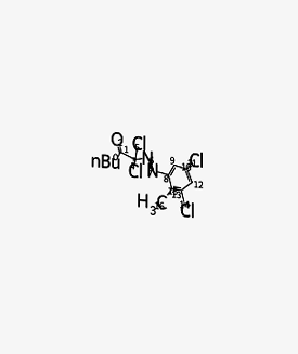 CCCCC(=O)C(Cl)(Cl)N=Nc1cc(Cl)cc(Cl)c1C